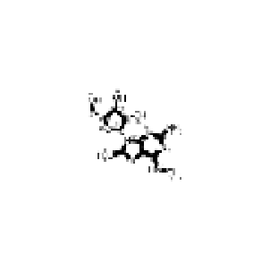 C=C1Sc2c(NC)nc(N)nc2N1[C@@H]1O[C@H](CO)[C@@H](O)[C@H]1O